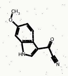 COc1ccc2c(C(=O)C#N)c[nH]c2c1